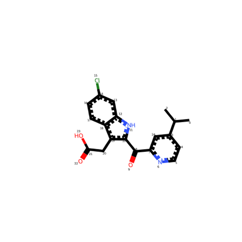 CC(C)c1ccnc(C(=O)c2[nH]c3cc(Cl)ccc3c2CC(=O)O)c1